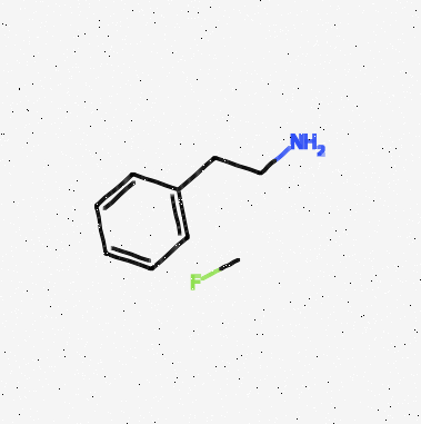 CF.NCCc1ccccc1